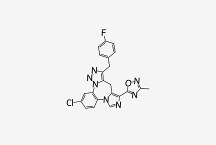 Cc1noc(-c2ncn3c2Cc2c(Cc4ccc(F)cc4)nnn2-c2cc(Cl)ccc2-3)n1